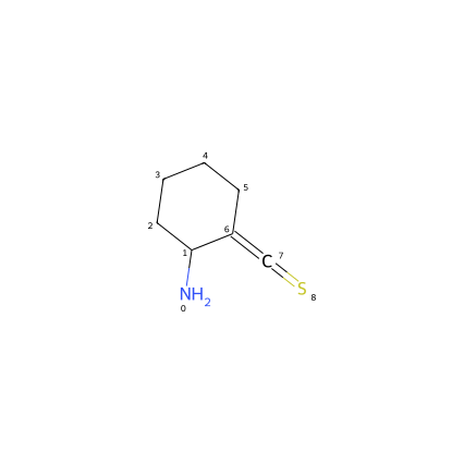 NC1CCCCC1=C=S